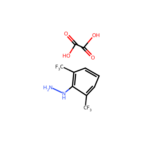 NNc1c(C(F)(F)F)cccc1C(F)(F)F.O=C(O)C(=O)O